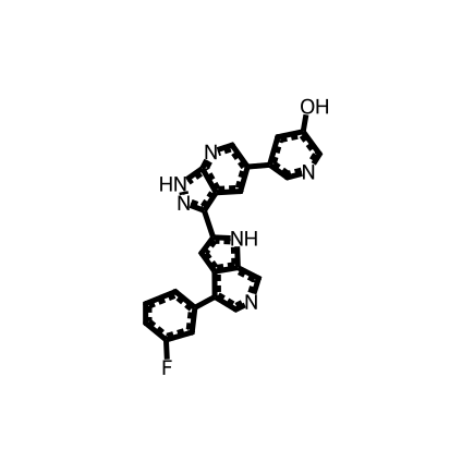 Oc1cncc(-c2cnc3[nH]nc(-c4cc5c(-c6cccc(F)c6)cncc5[nH]4)c3c2)c1